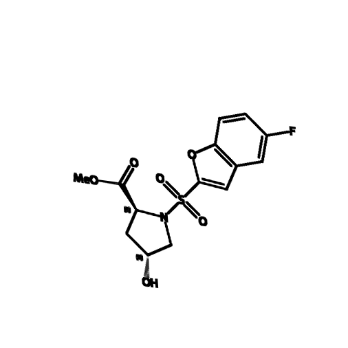 COC(=O)[C@@H]1C[C@@H](O)CN1S(=O)(=O)c1cc2cc(F)ccc2o1